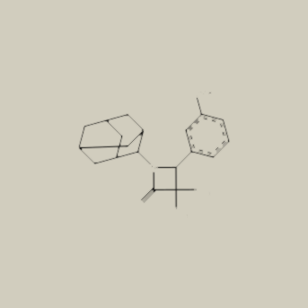 COc1cccc(C2N(C3C4CC5CC(C4)CC3C5)C(=O)C2(C)C)c1